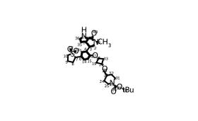 Cn1cc(-c2cc(C3CCCS3(=O)=O)ccc2OC2CC(OCC3CCN(C(=O)OC(C)(C)C)CC3)C2)c2cc[nH]c2c1=O